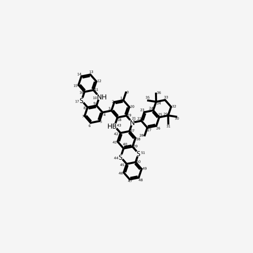 Cc1cc(-c2cccc3c2Nc2ccccc2S3)c2c(c1)N(c1cc3c(cc1C)C(C)(C)CCC3(C)C)c1cc3c(cc1B2)Sc1ccccc1S3